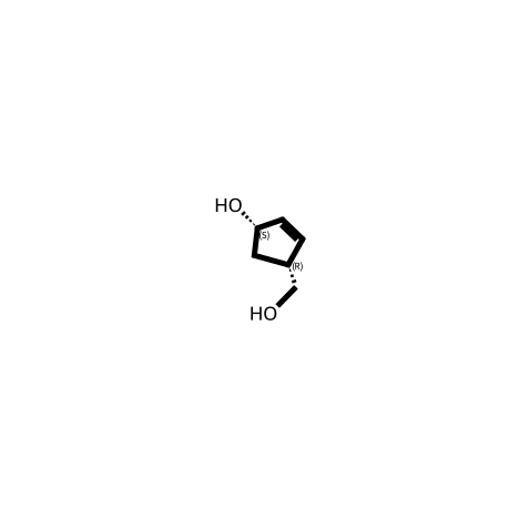 OC[C@H]1C=C[C@@H](O)C1